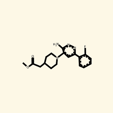 COC(=O)CC1CCN(c2cc(-c3ccccc3F)nnc2N)CC1